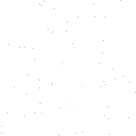 CC(N/C=C/NC(C)c1ccccc1)c1ccccc1